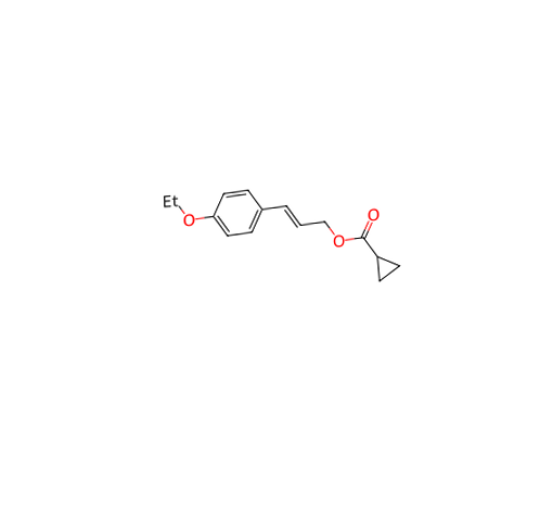 CCOc1ccc(C=CCOC(=O)C2CC2)cc1